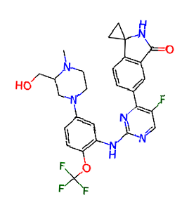 CN1CCN(c2ccc(OC(F)(F)F)c(Nc3ncc(F)c(-c4ccc5c(c4)C(=O)NC54CC4)n3)c2)CC1CO